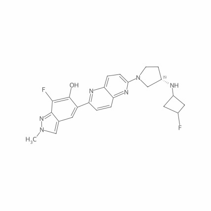 Cn1cc2cc(-c3ccc4nc(N5CC[C@H](NC6CC(F)C6)C5)ccc4n3)c(O)c(F)c2n1